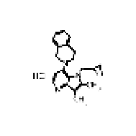 Cc1c(C)n(CC2CO2)c2c(N3CCc4ccccc4C3)ccnc12.Cl